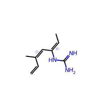 C=C/C(C)=C\C(=C/C)NC(=N)N